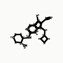 N#Cc1c(F)c2cnc(N[C@@H]3CCOC[C@H]3O)nn2c1CC1CCC1